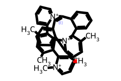 Cc1cc(C)c2c(c1-c1cccc[n+]1C)-[n+]1c3c(C)cc(C)c1-c1ccccc1/C(=C\c1ccccc1-3)[n+]1ccccc1-2